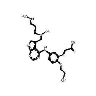 CNCCCN(C)Cc1c[nH]c2ncnc(Nc3ccc(OCCO)c(OCC(=O)O)c3)c12